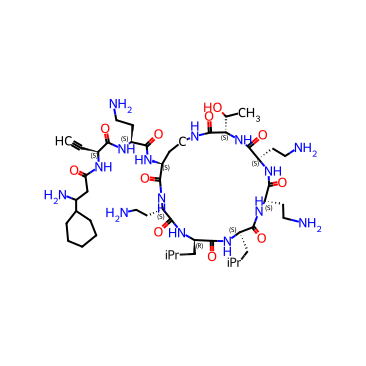 C#C[C@H](NC(=O)CC(N)C1CCCCC1)C(=O)N[C@@H](CCN)C(=O)N[C@H]1CCNC(=O)[C@H](C(C)O)NC(=O)[C@H](CCN)NC(=O)[C@H](CCN)NC(=O)[C@H](CC(C)C)NC(=O)[C@@H](CC(C)C)NC(=O)[C@H](CCN)NC1=O